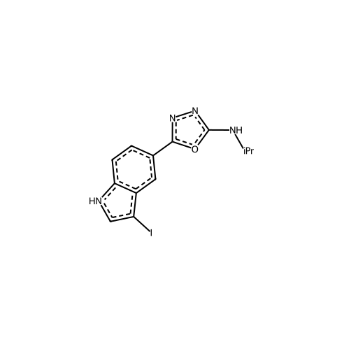 CC(C)Nc1nnc(-c2ccc3[nH]cc(I)c3c2)o1